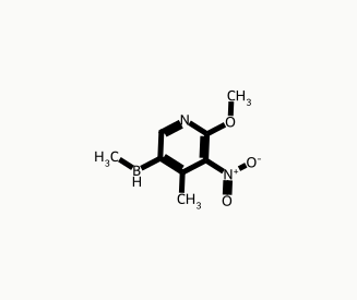 CBc1cnc(OC)c([N+](=O)[O-])c1C